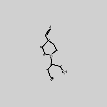 O=CC1CCN(C(CO)CO)CC1